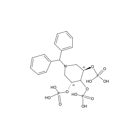 O=P(O)(O)OC1[C@H](OP(=O)(O)O)CN(C(c2ccccc2)c2ccccc2)C[C@H]1OP(=O)(O)O